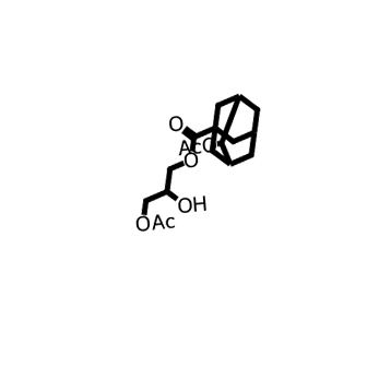 CC(=O)OCC(O)COC(=O)C12CC3CC(C1)C(OC(C)=O)C(C3)C2